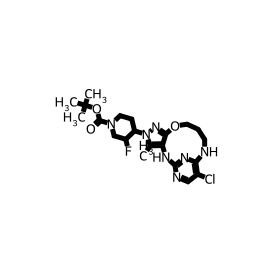 Cc1c2c(nn1C1CCN(C(=O)OC(C)(C)C)CC1F)OCCCNc1nc(ncc1Cl)N2